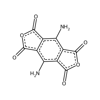 Nc1c2c(=O)oc(=O)c2c(N)c2c(=O)oc(=O)c12